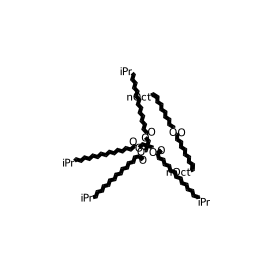 CC(C)CCCCCCCCCCCCCCC(=O)OCC(COC(=O)CCCCCCCCCCCCCCC(C)C)(COC(=O)CCCCCCCCCCCCCCC(C)C)COC(=O)CCCCCCCCCCCCCCC(C)C.CCCCCCCC/C=C\CCCCCCCCOC(=O)CCCCCCC/C=C\CCCCCCCC